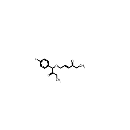 CCC(=O)/C=C/COC(C(=O)CC)c1ccc(F)cc1